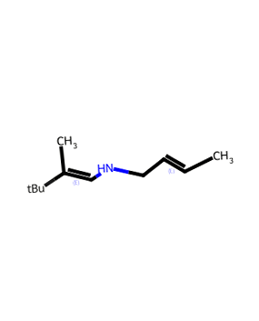 C/C=C/CN/C=C(\C)C(C)(C)C